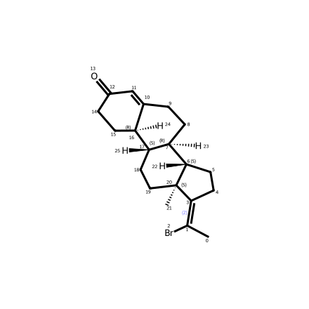 C/C(Br)=C1\CC[C@H]2[C@@H]3CCC4=CC(=O)CC[C@@H]4[C@H]3CC[C@]12C